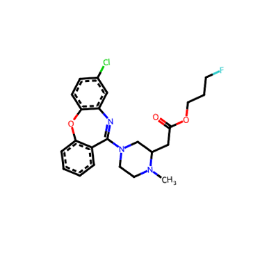 CN1CCN(C2=Nc3cc(Cl)ccc3Oc3ccccc32)CC1CC(=O)OCCCF